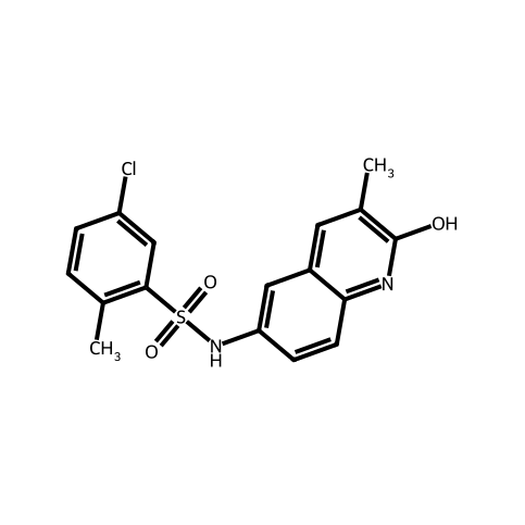 Cc1ccc(Cl)cc1S(=O)(=O)Nc1ccc2nc(O)c(C)cc2c1